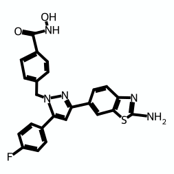 Nc1nc2ccc(-c3cc(-c4ccc(F)cc4)n(Cc4ccc(C(=O)NO)cc4)n3)cc2s1